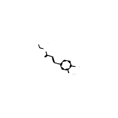 CCOC(=O)COC(=O)/C=C/c1ccc(O)c(OC)c1